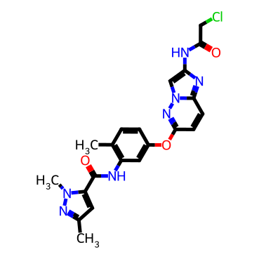 Cc1cc(C(=O)Nc2cc(Oc3ccc4nc(NC(=O)CCl)cn4n3)ccc2C)n(C)n1